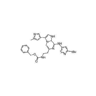 Cn1cc(C2=CNC3C(Nc4cc(C(C)(C)C)ns4)=NC(CCNC(=O)OCc4ccccc4)=CN23)cn1